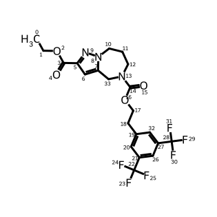 CCOC(=O)c1cc2n(n1)CCCN(C(=O)OCCc1cc(C(F)(F)F)cc(C(F)(F)F)c1)C2